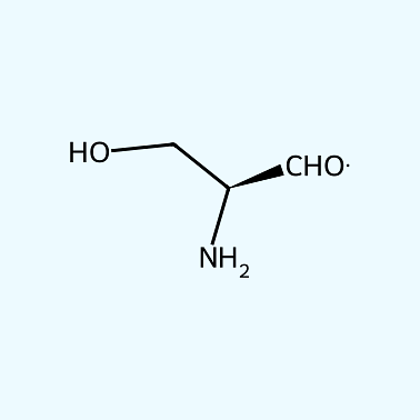 N[C@H]([C]=O)CO